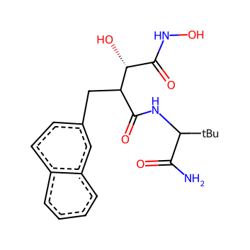 CC(C)(C)C(NC(=O)C(Cc1ccc2ccccc2c1)[C@H](O)C(=O)NO)C(N)=O